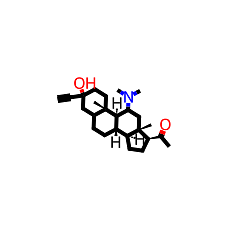 C#CC1(O)CC[C@@]2(C)C(CC[C@H]3[C@@H]4CC[C@H](C(C)=O)[C@@]4(C)CC(N(C)C)[C@@H]32)C1